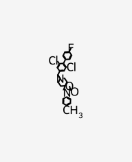 Cc1ccc(N2CC3(CCN(Cc4cc(Cl)c(-c5ccc(F)cc5)c(Cl)c4)CC3)OC2=O)cc1